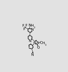 Cn1cc(-c2cc(-c3cnc(N)c(C(F)(F)F)c3)ccn2)n(-c2cccc(C#N)c2)c1=O